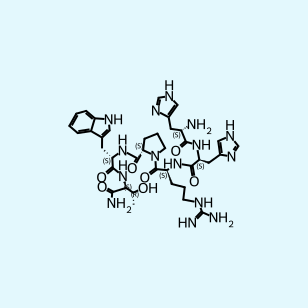 C[C@@H](O)[C@H](NC(=O)[C@H](Cc1c[nH]c2ccccc12)NC(=O)[C@@H]1CCCN1C(=O)[C@H](CCCNC(=N)N)NC(=O)[C@H](Cc1c[nH]cn1)NC(=O)[C@@H](N)Cc1c[nH]cn1)C(N)=O